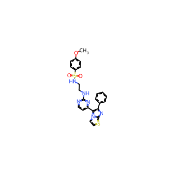 COc1ccc(S(=O)(=O)NCCNc2nccc(-c3c(-c4ccccc4)nc4sccn34)n2)cc1